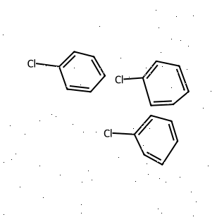 Clc1ccccc1.Clc1ccccc1.Clc1ccccc1